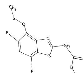 CC(C)(C)OC(=O)Nc1nc2c(OSC(F)(F)F)c(F)cc(F)c2s1